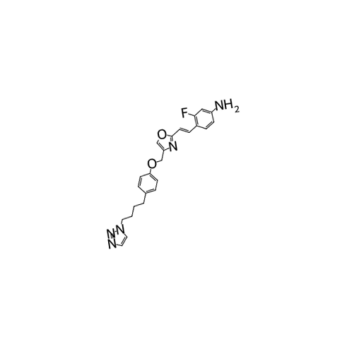 Nc1ccc(/C=C/c2nc(COc3ccc(CCCCn4ccnn4)cc3)co2)c(F)c1